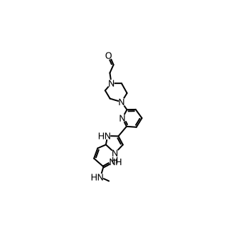 CNC(=N)/C=C\C1NC=C(c2cccc(N3CCN(CC=O)CC3)n2)N1